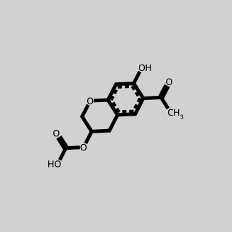 CC(=O)c1cc2c(cc1O)OCC(OC(=O)O)C2